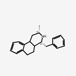 C[C@H]1CC2c3ccccc3CCC2[C@@H](Cc2ccccc2)N1